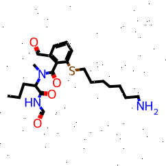 CCCC(C(=O)NC=O)N(C)C(=O)c1c(C=O)cccc1SCCCCCCCN